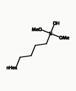 CCCCCCCCCC[Si](O)(OC)OC